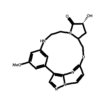 COc1cc2cc(c1)-c1cnn3ccc(nc13)OCC1C[C@@H](O)C(=O)N1CCN2